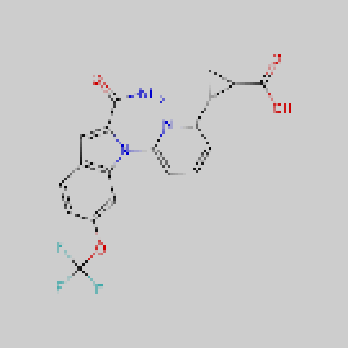 NC(=O)c1cc2ccc(OC(F)(F)F)cc2n1-c1cccc(C2CC2C(=O)O)n1